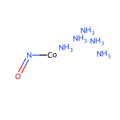 N.N.N.N.N.O=[N][Co]